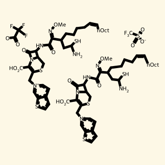 CCCCCCCC/C=C\CCCCC(CC(N)S)C(=NOC)C(=O)NC1C(=O)N2C(C(=O)O)=C(C[n+]3ccc4ccsc4c3)SCC12.CCCCCCCC/C=C\CCCCC(CC(N)S)C(=NOC)C(=O)NC1C(=O)N2C(C(=O)O)=C(C[n+]3ccc4ccsc4c3)SCC12.O=C([O-])C(F)(F)F.O=S(=O)([O-])C(F)(F)F